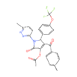 CC(=O)OC1=C(C(=O)c2ccc(C)cc2)C(c2ccc(OC(F)(F)F)cc2)N(c2ccc(C)nn2)C1=O